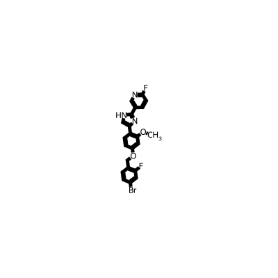 COc1cc(OCc2ccc(Br)cc2F)ccc1-c1c[nH]c(-c2ccc(F)nc2)n1